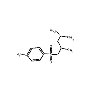 CC(C[C@H](N)C(=O)O)CS(=O)(=O)c1ccc([N+](=O)[O-])cc1